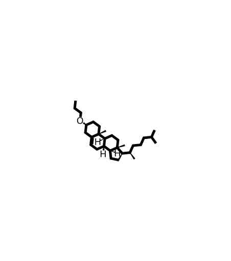 CCCO[C@H]1CC[C@@]2(C)C(=CC[C@H]3[C@@H]4CC[C@H]([C@H](C)CCCC(C)C)[C@@]4(C)CC[C@@H]32)C1